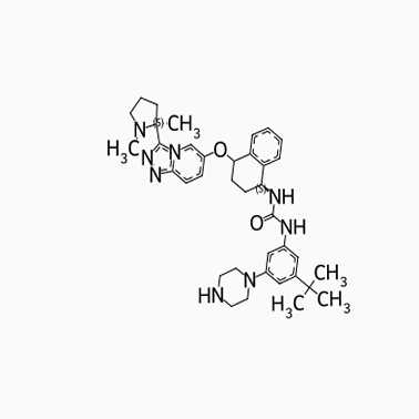 CN1CCC[C@@]1(C)c1nnc2ccc(OC3CC[C@H](NC(=O)Nc4cc(N5CCNCC5)cc(C(C)(C)C)c4)c4ccccc43)cn12